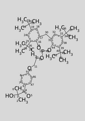 CC(C)(O)C(=O)c1ccc(OCCOP2Oc3c(cc(C(C)(C)C)cc3C(C)(C)C)Cc3cc(C(C)(C)C)cc(C(C)(C)C)c3O2)cc1